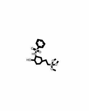 CO[Si](CCC1CCC(O)C(NS(=O)(=O)c2ccccc2)C1)(OC)OC